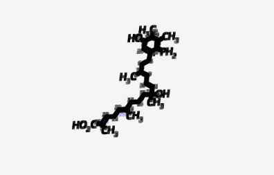 CC1=C(P)C(CCC(C)CCCC(C)(O)CCC/C(C)=C/C/C=C(\C)C(=O)O)=CC(O)C1C